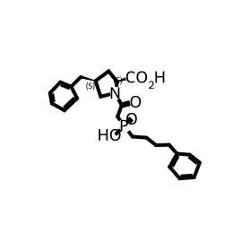 O=C(O)[C@@H]1C[C@H](Cc2ccccc2)CN1C(=O)CP(=O)(O)CCCCc1ccccc1